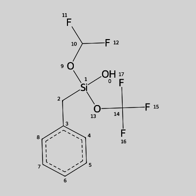 O[Si](Cc1ccccc1)(OC(F)F)OC(F)(F)F